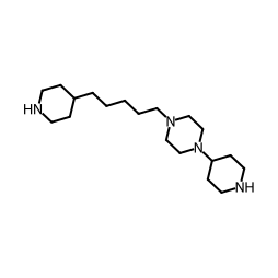 C(CCC1CCNCC1)CCN1CCN(C2CCNCC2)CC1